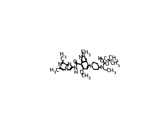 CCN(C(=O)OC(C)(C)C)C1CCN(c2cc(OC)c(C(=O)Nc3cn4cc(C)nc(C)c4n3)c3nn(C)cc23)CC1